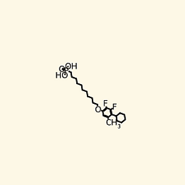 Cc1cc(OCCCCCCCCCCCP(=O)(O)O)c(F)c(F)c1C1CCCCC1